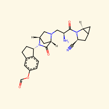 N#C[C@@H]1CC2C[C@@H]2N1C(=O)[C@@H](N)CN1C[C@@H]2C[C@H]1C(=O)N2[C@H]1CCc2cc(OC=O)ccc21